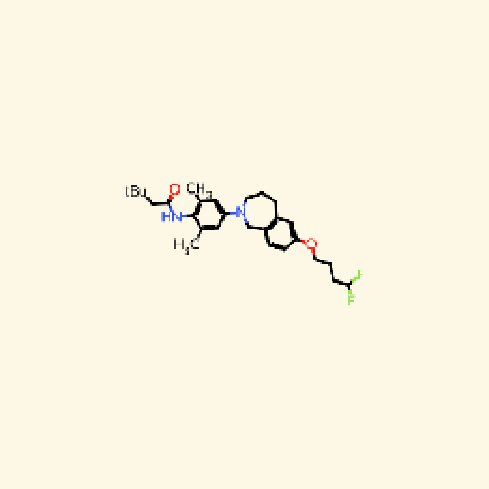 Cc1cc(N2CCCc3cc(OCCCC(F)F)ccc3C2)cc(C)c1NC(=O)CC(C)(C)C